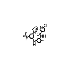 Cc1ccc(Nc2cc(N3CCOCC3)cc(C(F)(F)F)c2)cc1NC(=O)c1ccc(Cl)nc1